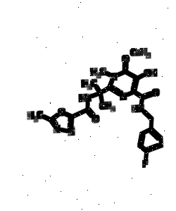 Cc1nnc(C(=O)NC(C)(C)c2nc(C(=O)NCc3ccc(F)cc3)c(O)c(=O)n2C)o1.[CaH2]